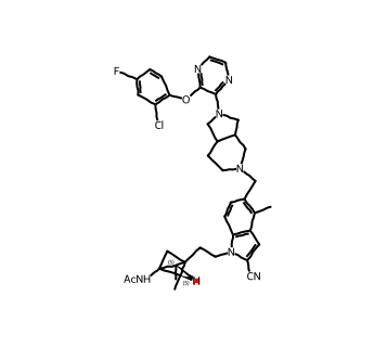 CC(=O)NC12CC(CCn3c(C#N)cc4c(C)c(CN5CCC6CN(c7nccnc7Oc7ccc(F)cc7Cl)CC6C5)ccc43)([C@@H]1C)[C@@H]2C